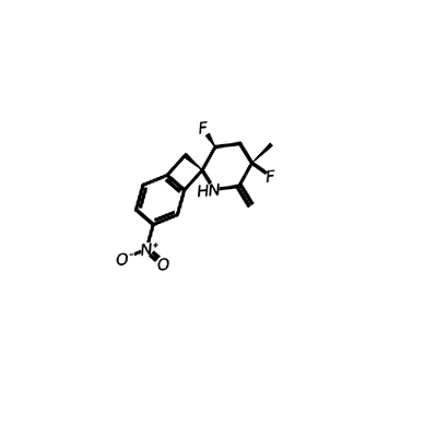 C=C1N[C@@]2(Cc3ccc([N+](=O)[O-])cc32)[C@@H](F)C[C@]1(C)F